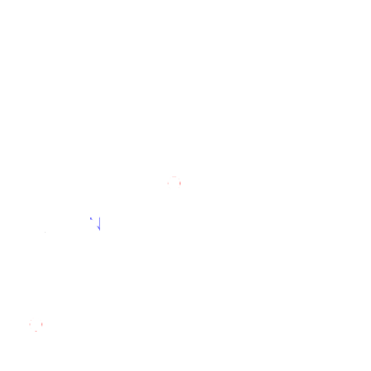 CCCCCOCN1CCOCC1